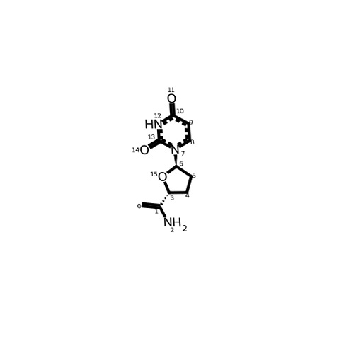 C=C(N)[C@H]1CC[C@H](n2ccc(=O)[nH]c2=O)O1